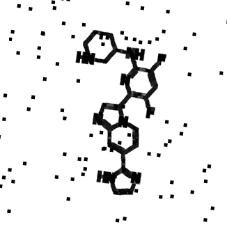 Fc1cc(F)c(-c2cnc3cc(-c4ncc[nH]4)ccn23)nc1NC1CCCNC1